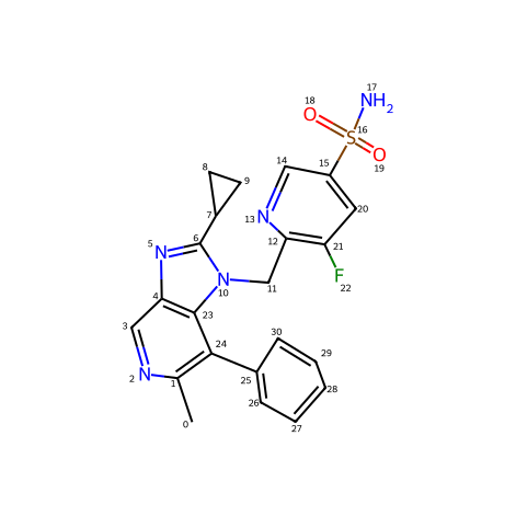 Cc1ncc2nc(C3CC3)n(Cc3ncc(S(N)(=O)=O)cc3F)c2c1-c1ccccc1